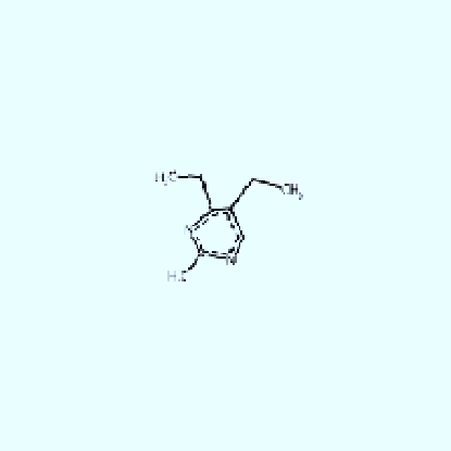 CCc1cnc(C)nc1CC